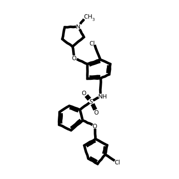 CN1CCC(Oc2cc(NS(=O)(=O)c3ccccc3Oc3cccc(Cl)c3)ccc2Cl)C1